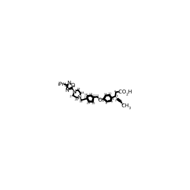 CC#C[C@@H](CC(=O)O)c1ccc(OCc2ccc(CN3CCN(c4nc(C(C)C)no4)CC3)cc2)cc1